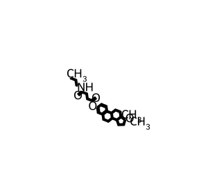 CCCCNC(=O)CCC(=O)Oc1ccc2c(c1)CCC1C2CCC2(C)C(OC)CCC12